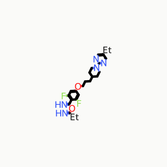 CCC(=N)OC(=N)c1c(F)cc(OCCCC2CCN(c3ncc(CC)cn3)CC2)cc1F